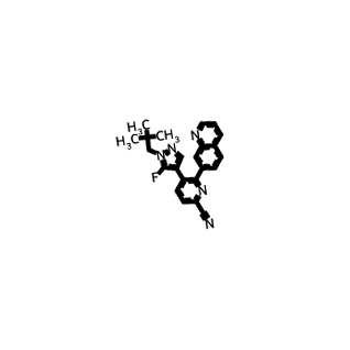 CC(C)(C)Cn1ncc(-c2ccc(C#N)nc2-c2ccc3cccnc3c2)c1F